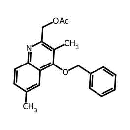 CC(=O)OCc1nc2ccc(C)cc2c(OCc2ccccc2)c1C